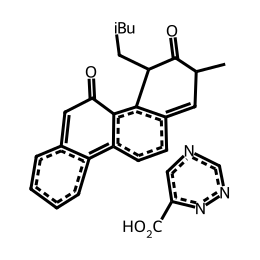 CCC(C)CC1C(=O)C(C)C=c2ccc3c(c21)C(=O)C=c1ccccc1=3.O=C(O)c1cncnn1